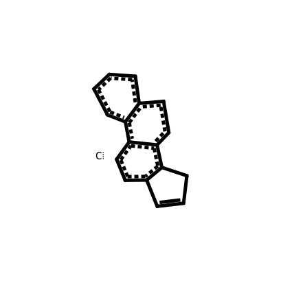 C1=Cc2ccc3c(ccc4ccccc43)c2C1.[C]